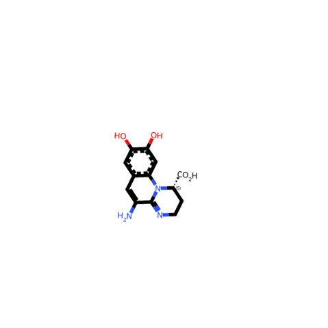 NC1=Cc2cc(O)c(O)cc2N2C1=NCC[C@H]2C(=O)O